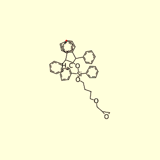 CC(O[Si](OCCCCOCC1CO1)(c1ccccc1)c1ccccc1)(C(c1ccccc1)c1ccccc1)C(c1ccccc1)c1ccccc1